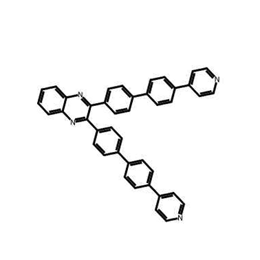 c1ccc2nc(-c3ccc(-c4ccc(-c5ccncc5)cc4)cc3)c(-c3ccc(-c4ccc(-c5ccncc5)cc4)cc3)nc2c1